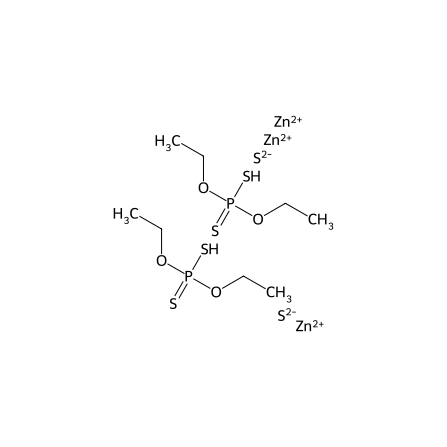 CCOP(=S)(S)OCC.CCOP(=S)(S)OCC.[S-2].[S-2].[Zn+2].[Zn+2].[Zn+2]